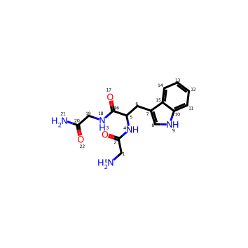 NCC(=O)NC(Cc1c[nH]c2ccccc12)C(=O)NCC(N)=O